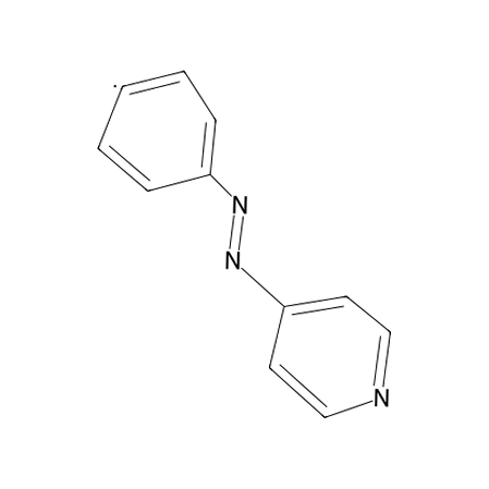 [c]1ccc(/N=N/c2ccncc2)cc1